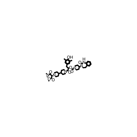 COC(=O)[C@@H](C(=O)N(C)C)N1CCC(C2CCN(C(=O)C(Cc3cc(C)c(O)c(C)c3)OC(=O)N3CCC(N4CCc5ccccc5NC4=O)CC3)CC2)CC1